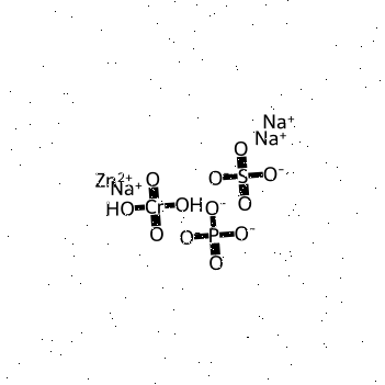 O=P([O-])([O-])[O-].O=S(=O)([O-])[O-].[Na+].[Na+].[Na+].[O]=[Cr](=[O])([OH])[OH].[Zn+2]